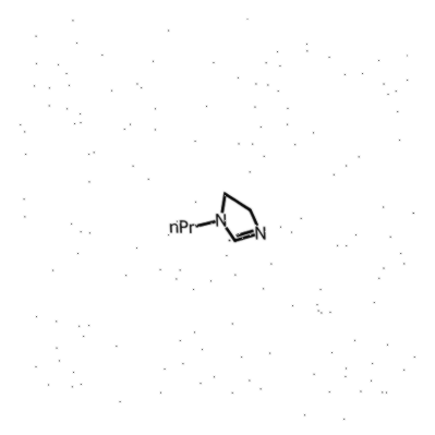 CCCN1[C]=NCC1